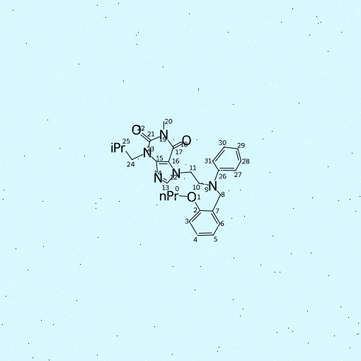 CCCOc1ccccc1CN(CCn1cnc2c1c(=O)n(C)c(=O)n2CC(C)C)c1ccccc1